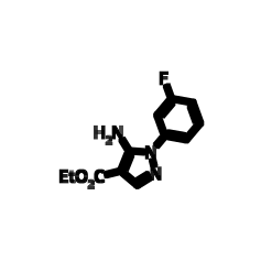 CCOC(=O)c1cnn(-c2cccc(F)c2)c1N